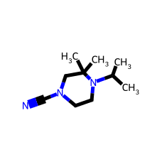 CC(C)N1CCN(C#N)CC1(C)C